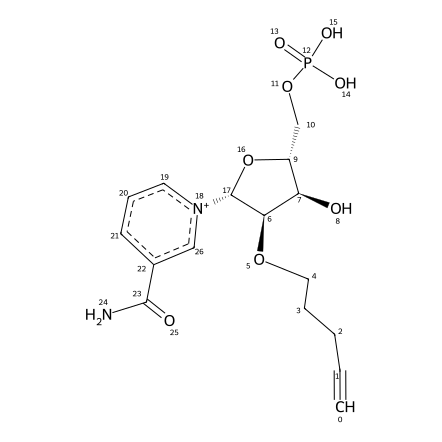 C#CCCCO[C@@H]1[C@H](O)[C@@H](COP(=O)(O)O)O[C@H]1[n+]1cccc(C(N)=O)c1